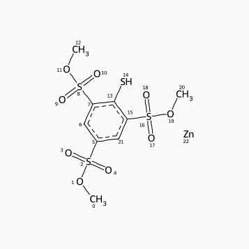 COS(=O)(=O)c1cc(S(=O)(=O)OC)c(S)c(S(=O)(=O)OC)c1.[Zn]